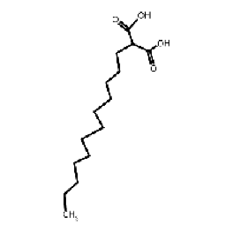 CCCCCCCCCCCCC(C(=O)O)C(=O)O